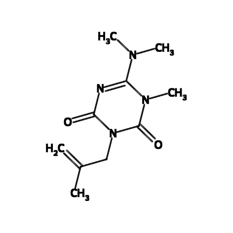 C=C(C)Cn1c(=O)nc(N(C)C)n(C)c1=O